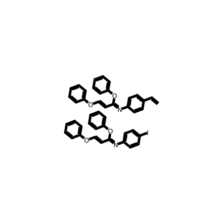 C=Cc1ccc(N=C(C=COc2ccccc2)Oc2ccccc2)cc1.Ic1ccc(N=C(C=COc2ccccc2)Oc2ccccc2)cc1